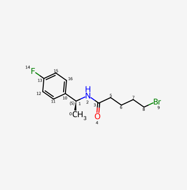 C[C@H](NC(=O)CCCCBr)c1ccc(F)cc1